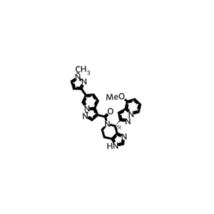 COc1cccn2nc([C@@H]3c4nc[nH]c4CCN3C(=O)c3cnn4cc(-c5ccn(C)n5)ccc34)cc12